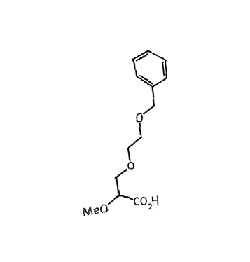 COC(COCCOCc1ccccc1)C(=O)O